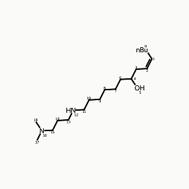 CCCC/C=C\CC(O)CCCCCCNCCCN(C)C